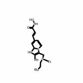 CCCC1=C(CN(CC)CCC(C)(C)C)N2C=CC(/C=C/C(=O)NO)=CC2N1